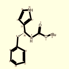 CC(C)(C)OC(=O)N[C@H](Cc1ccccc1)c1cc[nH]c1